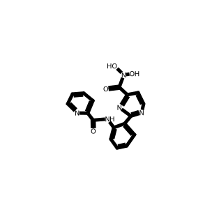 O=C(Nc1ccccc1-c1nccc(C(=O)N(O)O)n1)c1ccccn1